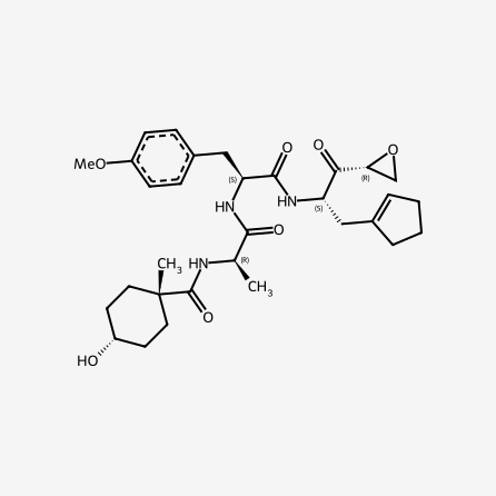 COc1ccc(C[C@H](NC(=O)[C@@H](C)NC(=O)[C@]2(C)CC[C@H](O)CC2)C(=O)N[C@@H](CC2=CCCC2)C(=O)[C@H]2CO2)cc1